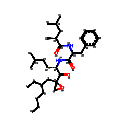 CCCCC(CC)C[C@]1(C(=O)[C@H](CCC(C)C)NC(=O)[C@H](Cc2ccccc2)NC(=O)[C@@H](C)CC(C)C)CO1